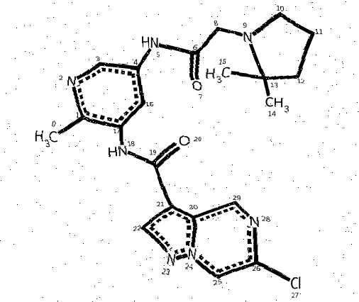 Cc1ncc(NC(=O)CN2CCCC2(C)C)cc1NC(=O)c1cnn2cc(Cl)ncc12